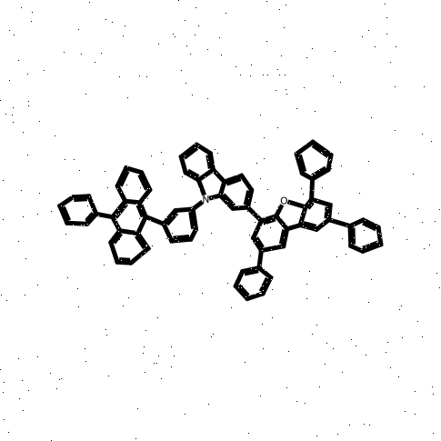 c1ccc(-c2cc(-c3ccccc3)c3oc4c(-c5ccc6c7ccccc7n(-c7cccc(-c8c9ccccc9c(-c9ccccc9)c9ccccc89)c7)c6c5)cc(-c5ccccc5)cc4c3c2)cc1